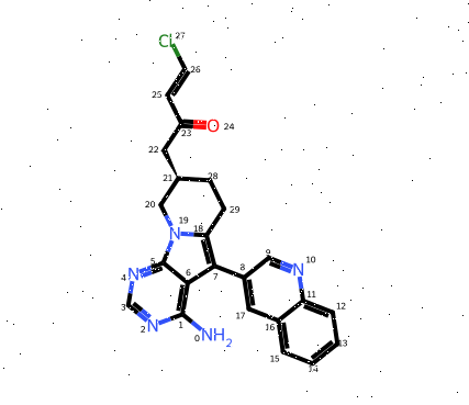 Nc1ncnc2c1c(-c1cnc3ccccc3c1)c1n2C[C@@H](CC(=O)/C=C/Cl)CC1